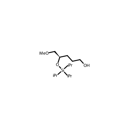 COC[C@@H](CCCO)O[Si](C(C)C)(C(C)C)C(C)C